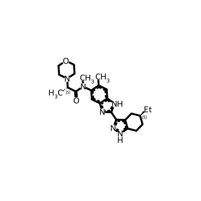 CC[C@H]1CCc2[nH]nc(-c3nc4cc(N(C)C(=O)[C@H](C)N5CCOCC5)c(C)cc4[nH]3)c2C1